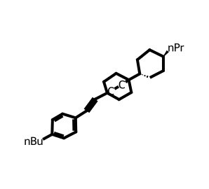 CCCCc1ccc(C#CC23CCC([C@H]4CC[C@H](CCC)CC4)(CC2)CC3)cc1